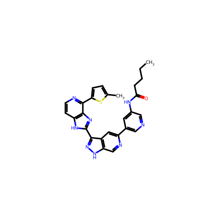 CCCCC(=O)Nc1cncc(-c2cc3c(-c4nc5c(-c6ccc(C)s6)nccc5[nH]4)n[nH]c3cn2)c1